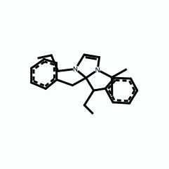 CCCN1C=CN(C(C)C)C1(Cc1ccccc1)C(CC)c1ccccc1